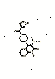 Cn1c(=O)c([N+](=O)O)c(N2CCN(C(=O)c3cc[nH]n3)CC2)c2ccccc21